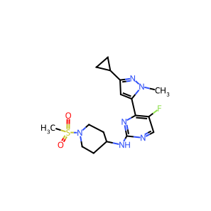 Cn1nc(C2CC2)cc1-c1nc(NC2CCN(S(C)(=O)=O)CC2)ncc1F